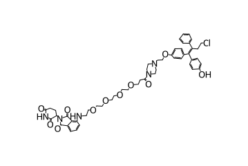 O=C1CCC(N2C(=O)c3cccc(NCCOCCOCCOCCOCCC(=O)N4CCN(CCOc5ccc(C(=C(CCCl)c6ccccc6)c6ccc(O)cc6)cc5)CC4)c3C2=O)C(=O)N1